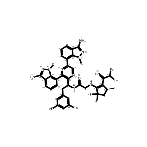 C[C@H]1CC(F)(F)C(NCC(=O)NC(Cc2cc(F)cc(F)c2)c2ncc(-c3cccc4c(N)nn(C)c34)nc2-c2cccc3c(N)nn(C)c23)=C1C(=N)C(F)F